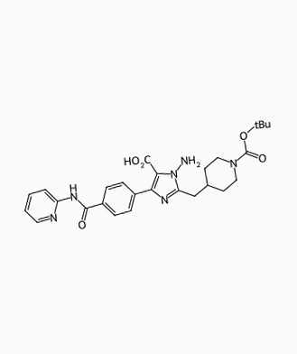 CC(C)(C)OC(=O)N1CCC(Cc2nc(-c3ccc(C(=O)Nc4ccccn4)cc3)c(C(=O)O)n2N)CC1